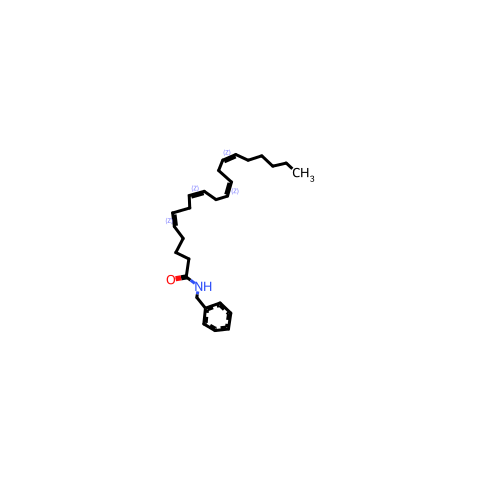 CCCCC/C=C\C/C=C\C/C=C\C/C=C\CCCC(=O)NCc1ccccc1